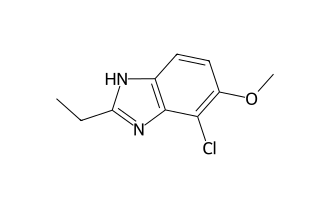 CCc1nc2c(Cl)c(OC)ccc2[nH]1